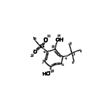 CC(C)(C)c1cccc(S(C)(=O)=O)c1O.Cl